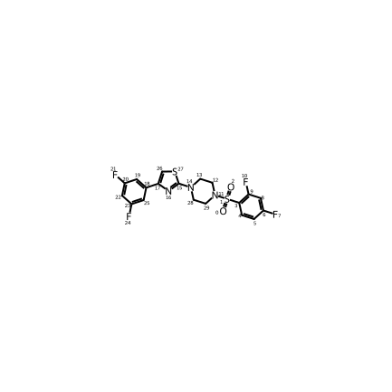 O=S(=O)(c1ccc(F)cc1F)N1CCN(c2nc(-c3cc(F)cc(F)c3)cs2)CC1